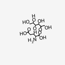 NC(CCC(=O)O)C(=O)O.O=C(CO)C(O)C(O)C(O)CO